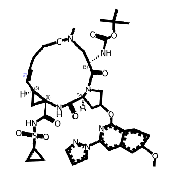 COc1ccc2c(OC3C[C@H]4C(=O)N[C@]5(C(=O)NS(=O)(=O)C6CC6)C[C@H]5/C=C\CCCN(C)C[C@H](NC(=O)OC(C)(C)C)C(=O)N4C3)nc(-n3cccn3)cc2c1